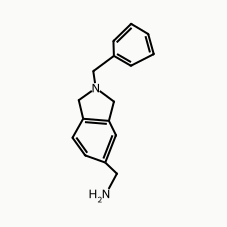 NCc1ccc2c(c1)CN(Cc1ccccc1)C2